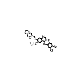 COc1cc2c(Nc3cc(Cl)c(Br)cc3F)ncnc2cc1OCC1CN2CCCC2CO1